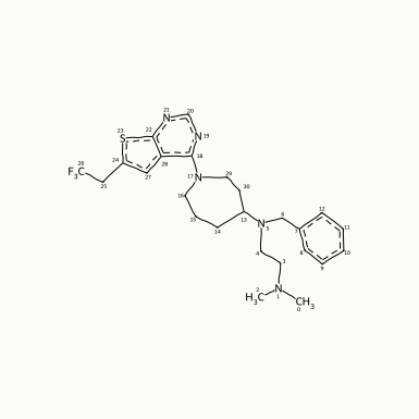 CN(C)CCN(Cc1ccccc1)C1CCCN(c2ncnc3sc(CC(F)(F)F)cc23)CC1